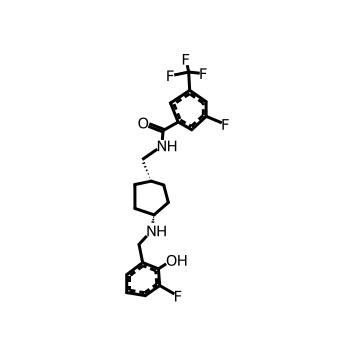 O=C(NC[C@H]1CC[C@@H](NCc2cccc(F)c2O)CC1)c1cc(F)cc(C(F)(F)F)c1